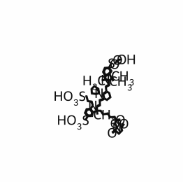 C[N+]1=C(C=CC2=C(N3CCCCC3)C(=CC=C3N(CCCS(=O)(=O)O)c4ccc(S(=O)(=O)O)cc4C3(C)CCCCCC(=O)ON3C(=O)CCC3=O)CCC2)C(C)(C)c2cc(SOOO)ccc21